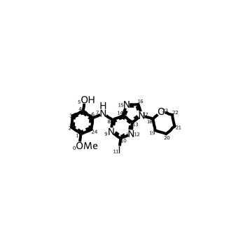 COc1ccc(O)c(Nc2nc(I)nc3c2ncn3C2CCCCO2)c1